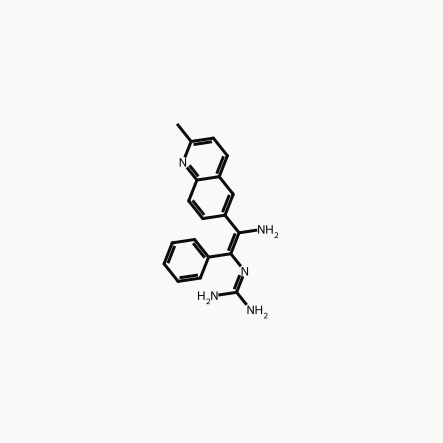 Cc1ccc2cc(/C(N)=C(/N=C(N)N)c3ccccc3)ccc2n1